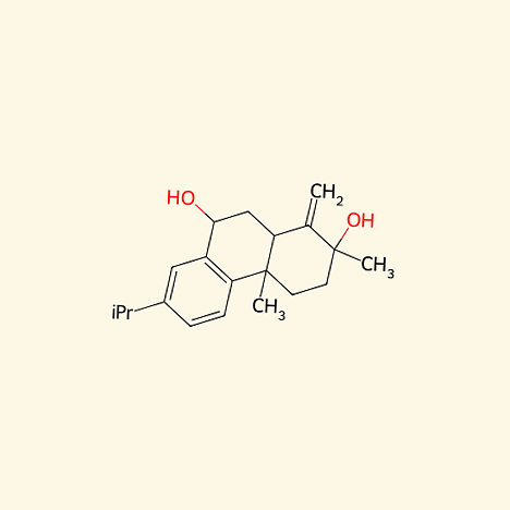 C=C1C2CC(O)c3cc(C(C)C)ccc3C2(C)CCC1(C)O